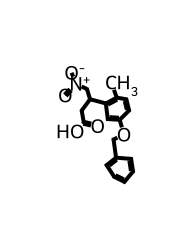 Cc1ccc(OCc2ccccc2)cc1C(CC(=O)O)C[N+](=O)[O-]